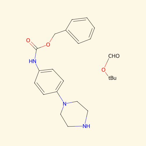 CC(C)(C)OC=O.O=C(Nc1ccc(N2CCNCC2)cc1)OCc1ccccc1